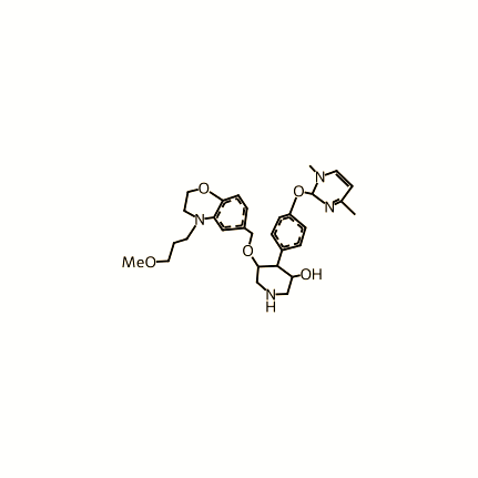 COCCCN1CCOc2ccc(COC3CNCC(O)C3c3ccc(OC4N=C(C)C=CN4C)cc3)cc21